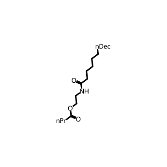 CCCCCCCCCCCCCCCC(=O)NCCOC(=O)CCC